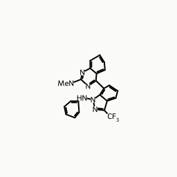 CNc1nc(-c2cccc3c(C(F)(F)F)nn(Nc4ccccc4)c23)c2ccccc2n1